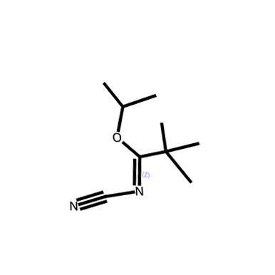 CC(C)O/C(=N\C#N)C(C)(C)C